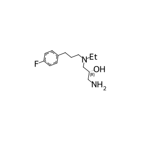 CCN(CCCc1ccc(F)cc1)C[C@H](O)CN